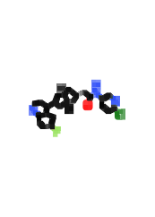 O=C(C[C@@H]1C[C@@H]2CC(c3ccnc4ccc(F)cc34)=C[C@@H]2C1)Nc1ccc(Cl)nc1